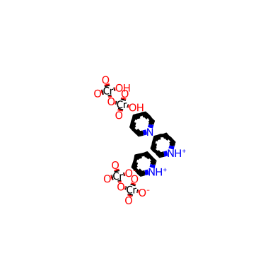 [O]=[Cr](=[O])([O-])[O][Cr](=[O])(=[O])[O-].[O]=[Cr](=[O])([OH])[O][Cr](=[O])(=[O])[OH].c1cc[nH+]cc1.c1cc[nH+]cc1.c1ccncc1